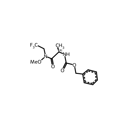 CON(CC(F)(F)F)C(=O)[C@@H](C)NC(=O)OCc1ccccc1